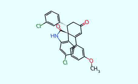 COc1cccc(C2=CC(=O)C[C@@H](c3cccc(Cl)c3)[C@]23C(=O)Nc2cc(Cl)ccc23)c1